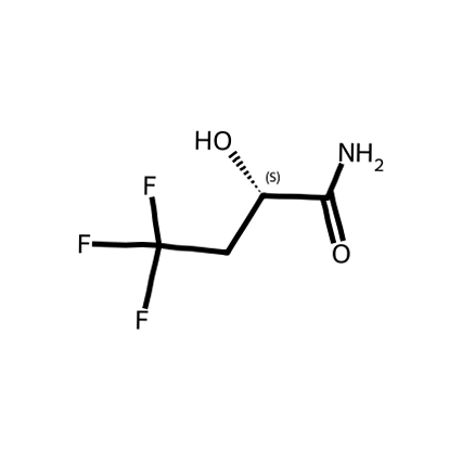 NC(=O)[C@@H](O)CC(F)(F)F